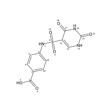 O=C(O)c1ccc(NS(=O)(=O)c2c[nH]c(=O)[nH]c2=O)cc1